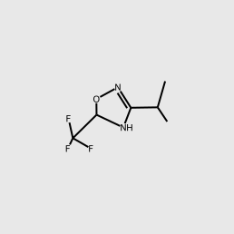 CC(C)C1=NOC(C(F)(F)F)N1